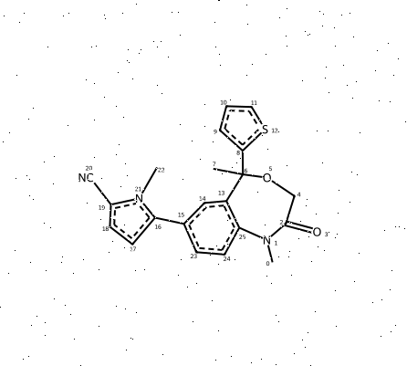 CN1C(=O)COC(C)(c2cccs2)c2cc(-c3ccc(C#N)n3C)ccc21